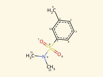 [CH2]c1cccc(S(=O)(=O)N(C)C)c1